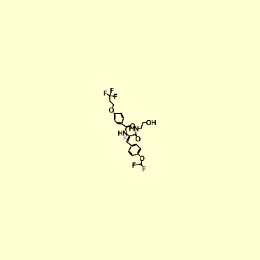 O=C(NCCO)/C(=C\c1ccc(OC(F)F)cc1)NC(=O)c1ccc(OCCC(F)(F)F)cc1